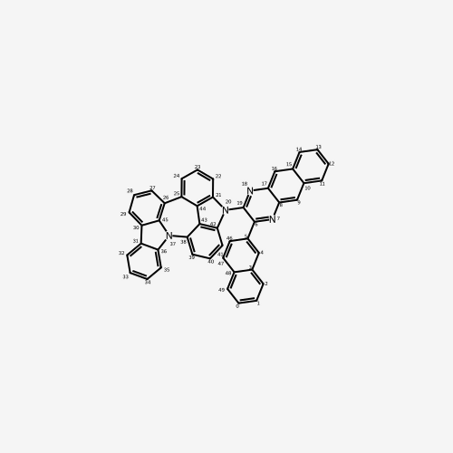 c1ccc2cc(-c3nc4cc5ccccc5cc4nc3-n3c4cccc5c6cccc7c8ccccc8n(c8cccc3c8c54)c67)ccc2c1